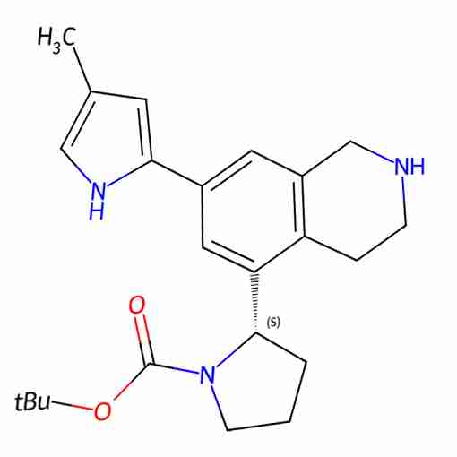 Cc1c[nH]c(-c2cc3c(c([C@@H]4CCCN4C(=O)OC(C)(C)C)c2)CCNC3)c1